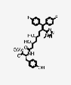 COC(=O)[C@H](Cc1ccc(O)cc1)NC(=O)C[C@H](O)C[C@H](O)C=CC(=C(c1ccc(F)cc1)c1ccc(F)cc1)c1nnnn1C